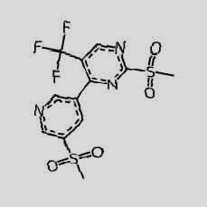 CS(=O)(=O)c1cncc(-c2nc(S(C)(=O)=O)ncc2C(F)(F)F)c1